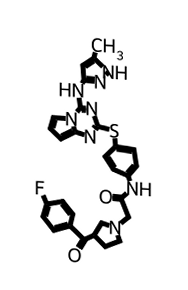 Cc1cc(Nc2nc(Sc3ccc(NC(=O)CN4CCC(C(=O)c5ccc(F)cc5)C4)cc3)nc3cccn23)n[nH]1